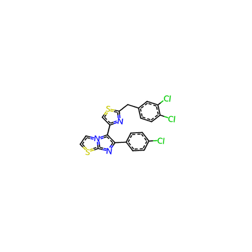 Clc1ccc(-c2nc3sccn3c2-c2csc(Cc3ccc(Cl)c(Cl)c3)n2)cc1